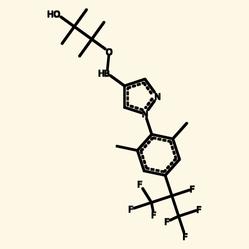 Cc1cc(C(F)(C(F)(F)F)C(F)(F)F)cc(C)c1-n1cc(BOC(C)(C)C(C)(C)O)cn1